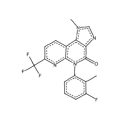 Cc1c(F)cccc1-n1c(=O)c2ncn(C)c2c2ccc(C(F)(F)F)nc21